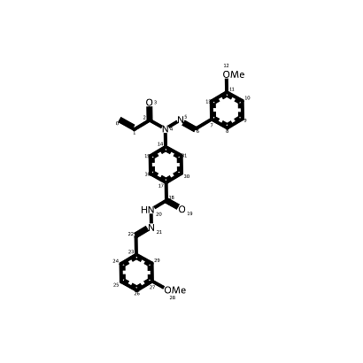 C=CC(=O)N(N=Cc1cccc(OC)c1)c1ccc(C(=O)NN=Cc2cccc(OC)c2)cc1